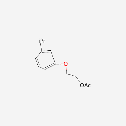 CC(=O)OCCOc1cccc(C(C)C)c1